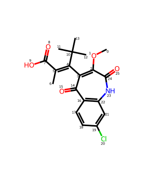 COc1c(C(=C(C)C(=O)O)C(C)(C)C)c(=O)c2ccc(Cl)cc2[nH]c1=O